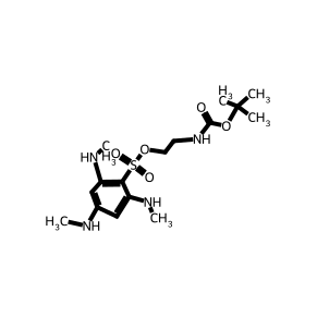 CNc1cc(NC)c(S(=O)(=O)OCCNC(=O)OC(C)(C)C)c(NC)c1